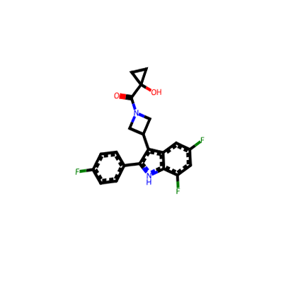 O=C(N1CC(c2c(-c3ccc(F)cc3)[nH]c3c(F)cc(F)cc23)C1)C1(O)CC1